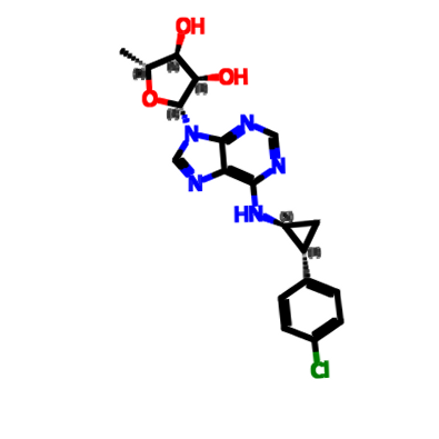 C[C@H]1O[C@@H](n2cnc3c(N[C@H]4C[C@@H]4c4ccc(Cl)cc4)ncnc32)[C@H](O)[C@@H]1O